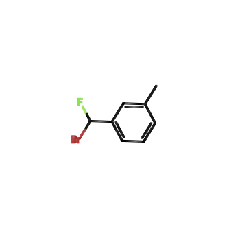 Cc1cccc(C(F)Br)c1